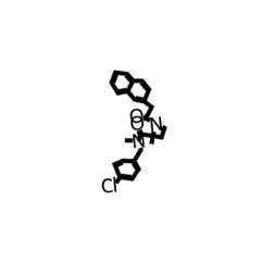 CN(Cc1ccc(Cl)cc1)C(=O)C1(C)CCN1C(=O)Cc1ccc2ccccc2c1